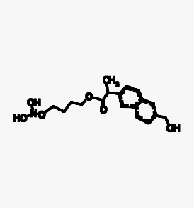 CC(C(=O)OCCCCON(O)O)c1ccc2cc(CO)ccc2c1